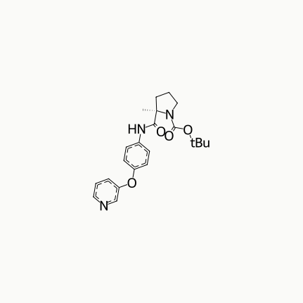 CC(C)(C)OC(=O)N1CCC[C@]1(C)C(=O)Nc1ccc(Oc2cccnc2)cc1